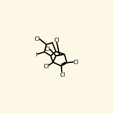 ClC1=C(Cl)C23C4CC(Cl)C(I)C4C1(Cl)C2(Cl)C3Cl